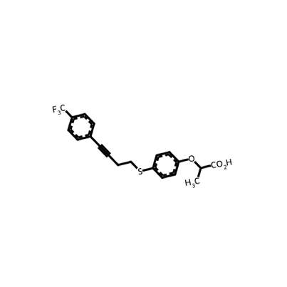 CC(Oc1ccc(SCCC#Cc2ccc(C(F)(F)F)cc2)cc1)C(=O)O